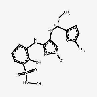 CC[C@@H](Nc1n[s+]([O-])nc1Nc1cccc(S(=O)(=O)NC)c1O)c1ccc(C)o1